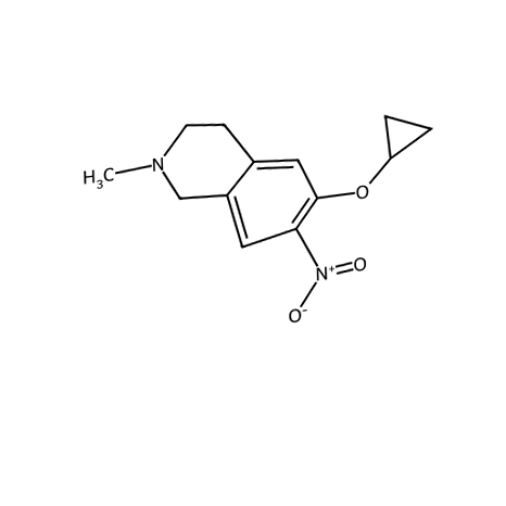 CN1CCc2cc(OC3CC3)c([N+](=O)[O-])cc2C1